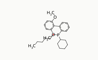 CCCCCCP(c1ccccc1-c1c(OC)cccc1OC)C1CCCCC1